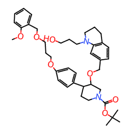 COc1ccccc1COCCCOc1ccc(C2CCN(C(=O)OC(C)(C)C)CC2OCc2ccc3c(c2)N(CCCO)CCC3)cc1